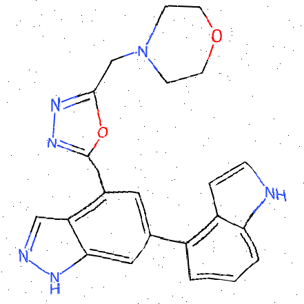 c1cc(-c2cc(-c3nnc(CN4CCOCC4)o3)c3cn[nH]c3c2)c2cc[nH]c2c1